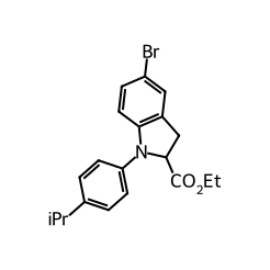 CCOC(=O)C1Cc2cc(Br)ccc2N1c1ccc(C(C)C)cc1